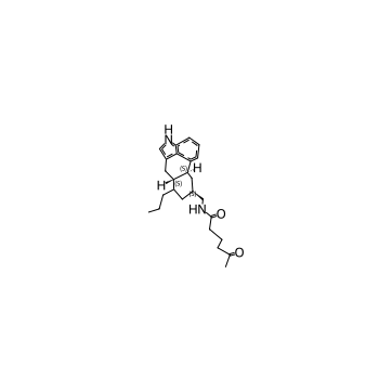 CCCC1C[C@H](CNC(=O)CCCC(C)=O)C[C@@H]2c3cccc4[nH]cc(c34)C[C@@H]12